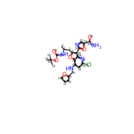 CC(Cc1oc2c(NCc3ccco3)cc(Cl)nc2c1-c1ncc(C(N)=O)o1)NC(=O)OC(C)(C)C